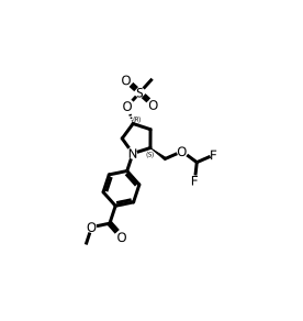 COC(=O)c1ccc(N2C[C@H](OS(C)(=O)=O)C[C@H]2COC(F)F)cc1